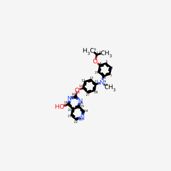 CC(C)Oc1cccc(N(C)c2ccc(Oc3nc(O)c4ccncc4n3)cc2)c1